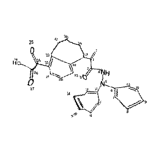 C=C(C(=O)NN(c1ccccc1)c1ccccc1)C1CCCc2c(C(=O)C(=O)O)cccc21